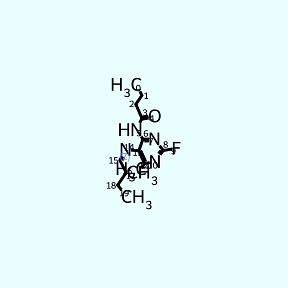 CCCC(=O)Nc1nc(F)nc(C)c1/N=C\C(C)CC